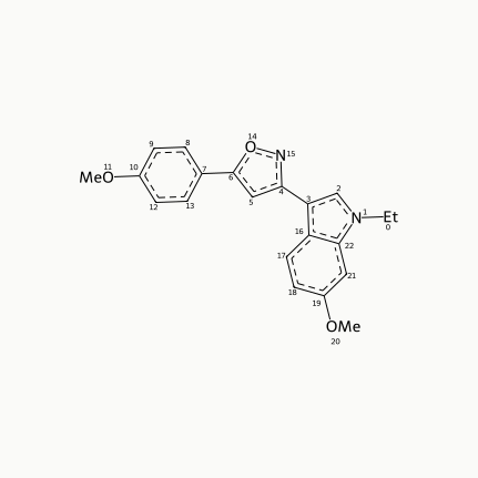 CCn1cc(-c2cc(-c3ccc(OC)cc3)on2)c2ccc(OC)cc21